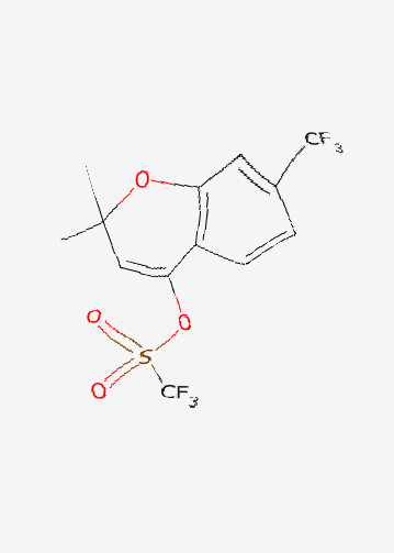 CC1(C)C=C(OS(=O)(=O)C(F)(F)F)c2ccc(C(F)(F)F)cc2O1